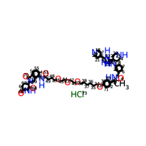 C[C@@H](NC(=O)c1cccc(NC2(c3nnc(-c4ccncc4)[nH]3)CCNCC2)c1)c1ccc(OCCCCCCOCCOCCOCCCC(=O)Nc2cccc3c2CN(C2CCC(=O)NC2=O)C3=O)cc1.Cl